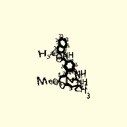 CCC1(C)CC(=O)N(C(CCOC)c2cccc(C(=O)NC3c4ccccc4CC3(C)O)c2)C(=N)N1